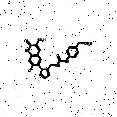 O=C(O)Cc1ccc(NC(=O)NCc2cccn2-c2cc3cc(C(=O)O)c(=O)[nH]c3cc2Cl)cc1